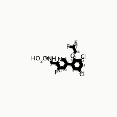 O=C(O)NCc1ncc(-c2cc(Cl)cc(Cl)c2OCC(F)F)cc1F